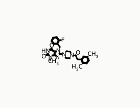 Cc1ccc(C)c(CC(=O)N2CCN(c3nc4c(c(=O)[nH]c(=O)n4C)n3Cc3ccccc3F)CC2)c1